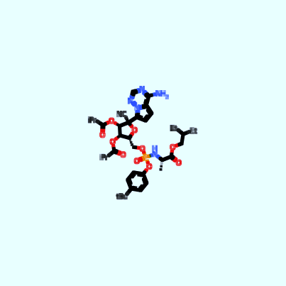 CCC(CC)COC(=O)[C@H](C)NP(=O)(OC[C@H]1O[C@@](C#N)(c2ccc3c(N)ncnn23)[C@H](OC(=O)C(C)C)[C@@H]1OC(=O)C(C)C)Oc1ccc(C(C)(C)C)cc1